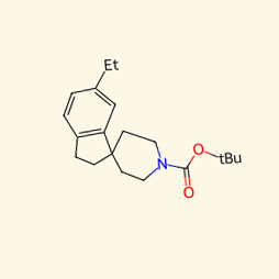 CCc1ccc2c(c1)C1(CC2)CCN(C(=O)OC(C)(C)C)CC1